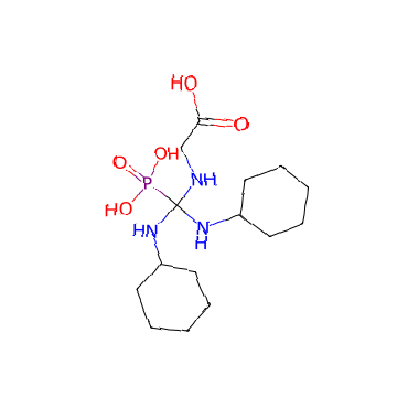 O=C(O)CNC(NC1CCCCC1)(NC1CCCCC1)P(=O)(O)O